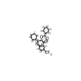 O=C(Oc1c(-c2ccccc2)nc2ccc(C(F)(F)F)cn2c1=O)c1ccccc1